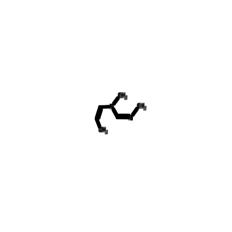 C/C=C\N(C)/C=N\C